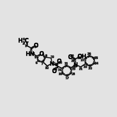 C=CC(=O)Nc1cc2c(o1)CN(S(=O)(=O)c1cccc(N(Cc3ccccc3)C(=O)O)c1)C2